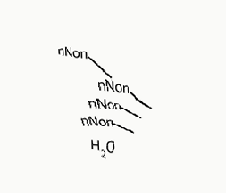 CCCCCCCCCC.CCCCCCCCCC.CCCCCCCCCC.CCCCCCCCCC.O